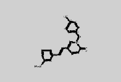 COc1cccc(/C=C/c2ccc(=O)n(Cc3ccc(Cl)cc3)c2)c1